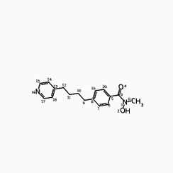 CN(O)C(=O)c1ccc(CCCCc2ccncc2)cc1